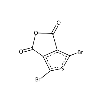 O=C1OC(=O)c2c(Br)sc(Br)c21